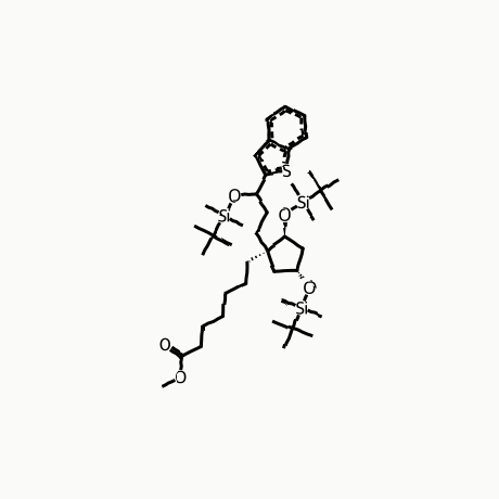 COC(=O)CCCCCC[C@@]1(CCC(O[Si](C)(C)C(C)(C)C)c2cc3ccccc3s2)C[C@@H](O[Si](C)(C)C(C)(C)C)C[C@@H]1O[Si](C)(C)C(C)(C)C